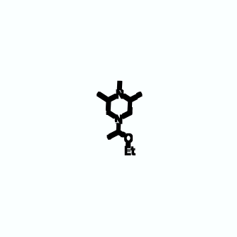 CCOC(C)N1CC(C)N(C)C(C)C1